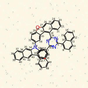 c1ccc(-c2nc(-c3cccc4ccccc34)nc(-c3c4ccccc4cc4oc5ccc(-n6c7cc8ccccc8cc7c7c8ccccc8ccc76)cc5c34)n2)cc1